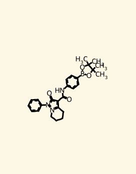 CC1(C)OB(c2ccc(NC(=O)c3c4n(n(-c5ccccc5)c3=O)CCCC4)cc2)OC1(C)C